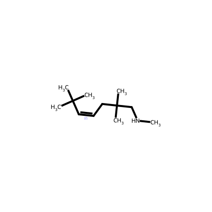 CNCC(C)(C)C/C=C\C(C)(C)C